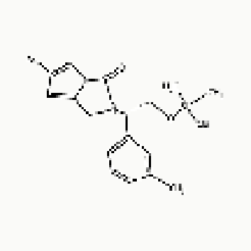 Cc1cccc([C@@H](CO[Si](C)(C)C(C)(C)C)N2Cc3cc(Br)cn3C2=O)c1